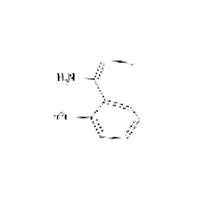 C/C=C(/N)c1ccccc1CCC